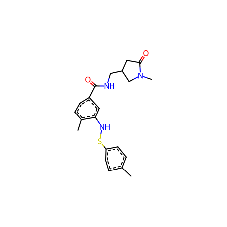 Cc1ccc(SNc2cc(C(=O)NCC3CC(=O)N(C)C3)ccc2C)cc1